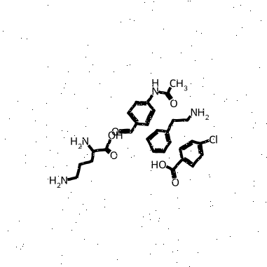 CC(=O)Nc1ccc(C=O)cc1.NCCCC(N)C(=O)O.NCCc1ccccc1.O=C(O)c1ccc(Cl)cc1